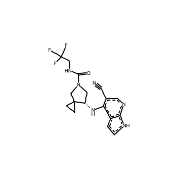 N#Cc1cnc2[nH]ccc2c1N[C@H]1CN(C(=O)NCC(F)(F)F)CC12CC2